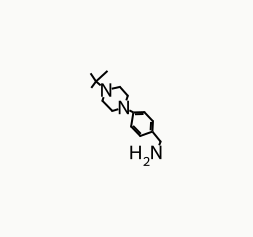 CC(C)(C)N1CCN(c2ccc(CN)cc2)CC1